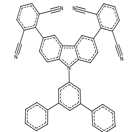 N#Cc1cccc(C#N)c1-c1ccc2c(c1)c1cc(-c3c(C#N)cccc3C#N)ccc1n2-c1cc(-c2ccccc2)cc(-c2ccccc2)c1